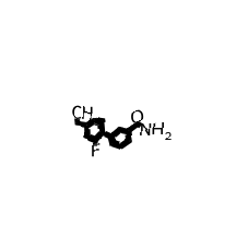 CCc1ccc(-c2cccc(C(N)=O)c2)c(F)c1